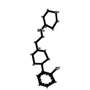 Clc1ccccc1C1CCC(CCNC2CCOCC2)CC1